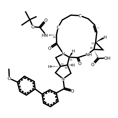 COc1ccc(-c2cccc(C(=O)N3C[C@H]4CN5C(=O)[C@H](NC(=O)OC(C)(C)C)CCCCC/C=C\[C@@H]6C[C@@]6(C(=O)O)NC(=O)[C@@H]5[C@H]4C3)c2)cc1